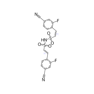 N#Cc1ccc(/C=C\S(=O)(=O)NS(=O)(=O)/C=C/c2ccc(C#N)cc2F)c(F)c1